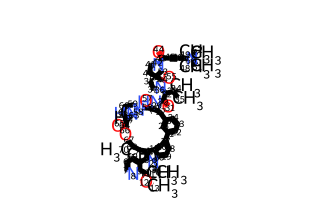 CCn1c(-c2cccnc2[C@H](C)OC)c2c3cc(ccc31)-c1cccc(c1)C[C@H](NC(=O)C(C(C)C)N1CC[C@]3(CCN(C(=O)C#CC(C)(C)N(C)C)C3)C1=O)C(=O)N1CCC[C@H](N1)C(=O)OCC(C)(C)C2